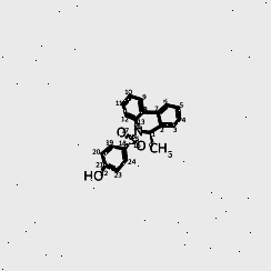 C[C@@H]1c2ccccc2-c2ccccc2N1S(=O)(=O)c1ccc(O)cc1